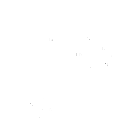 N=C(Nc1ccc(F)c(Br)c1)c1nonc1NCC1CCC(CCNS(N)(=O)=O)CC1